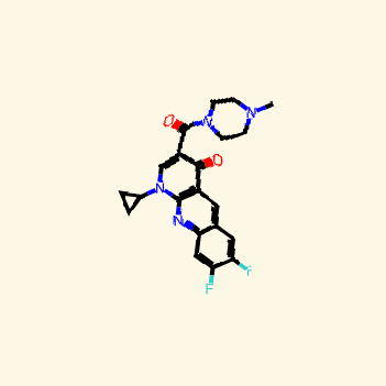 CN1CCN(C(=O)c2cn(C3CC3)c3nc4cc(F)c(F)cc4cc3c2=O)CC1